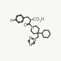 O=C(O)[C@H](Cc1ccc(F)cc1)C(=O)N1CCC(Cn2cncn2)(C2CCCCC2)CC1